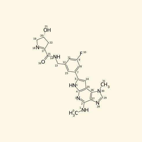 CNc1nc2[nH]c(-c3cc(F)cc(CNC(=O)C4=NC[C@H](O)C4)c3)cc2c2c1ncn2C